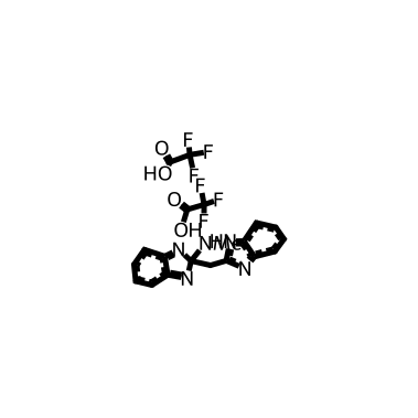 CNC1(Cc2nc3ccccc3[nH]2)N=c2ccccc2=N1.O=C(O)C(F)(F)F.O=C(O)C(F)(F)F